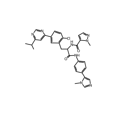 CC(C)c1cc(-c2ccc(Cl)c(CC(NC(=O)c3ccnn3C)C(=O)Nc3ccc(-c4cncn4C)cc3)c2)ncn1